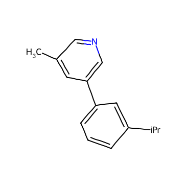 Cc1cncc(-c2cccc(C(C)C)c2)c1